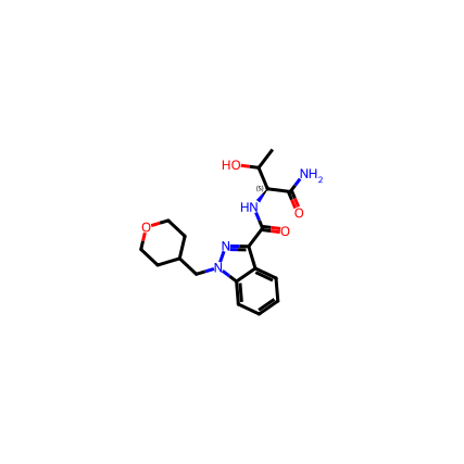 CC(O)[C@H](NC(=O)c1nn(CC2CCOCC2)c2ccccc12)C(N)=O